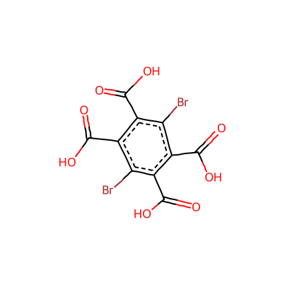 O=C(O)c1c(Br)c(C(=O)O)c(C(=O)O)c(Br)c1C(=O)O